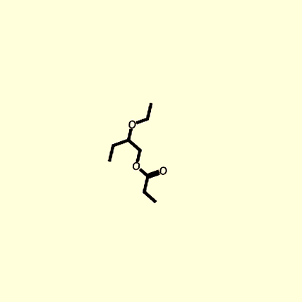 CCOC(CC)COC(=O)CC